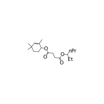 CCCC(CC)OC(=O)CCC(=O)OC1CCC(C)(C)C=C1C